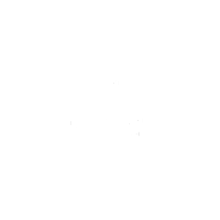 C=CCOc1cc(C)ccc1C(C)(C)C